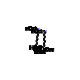 CCCCCCCC/C=C\CCCCCCC(CCCCCCCCCC)C(=O)O.CCCCCCCC/C=C\CCCCCCCC(=O)OCCCCCCCCCC